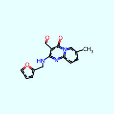 Cc1ccc2nc(NCc3ccco3)c(C=O)c(=O)n2c1